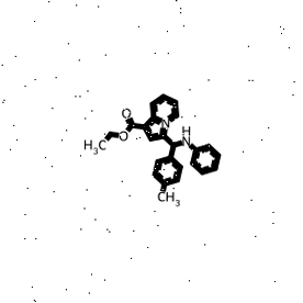 CCOC(=O)c1cc(C(Nc2ccccc2)c2ccc(C)cc2)n2ccccc12